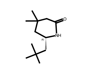 CC(C)(C)C[C@@H]1CC(C)(C)CC(=O)N1